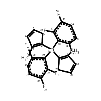 CC1=[C]([Ti]([C]2=C(C)C=CC2)([c]2c(F)ccc(F)c2F)[c]2c(F)ccc(F)c2F)CC=C1